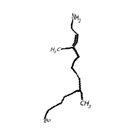 CCC(C)CCCC(C)CCC/C(C)=C/CN